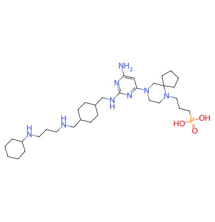 Nc1cc(N2CCN(CCCP(=O)(O)O)C3(CCCC3)C2)nc(NCC2CCC(CNCCCNC3CCCCC3)CC2)n1